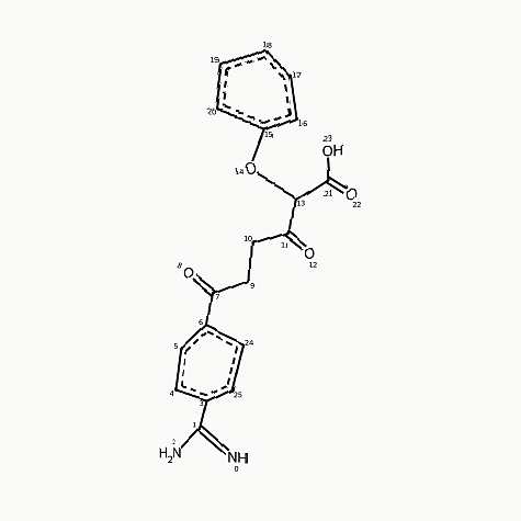 N=C(N)c1ccc(C(=O)CCC(=O)C(Oc2ccccc2)C(=O)O)cc1